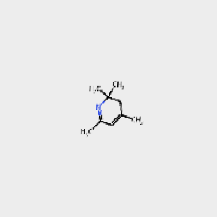 CC1=CC(C)=NC(C)(C)C1